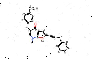 Cn1cc(Cc2ccc(C(=O)O)cc2)c(=O)c2cc(C#CCc3ccccc3)oc21